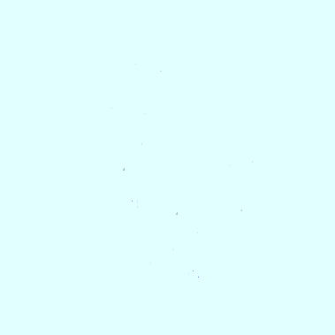 CC(C)N(C)[C@@H]1CC[C@H](N2CC[C@H](CC(=O)c3cccc(C(F)(F)F)c3)C2=O)[C@H](CS(=O)(=O)c2ccccc2)C1